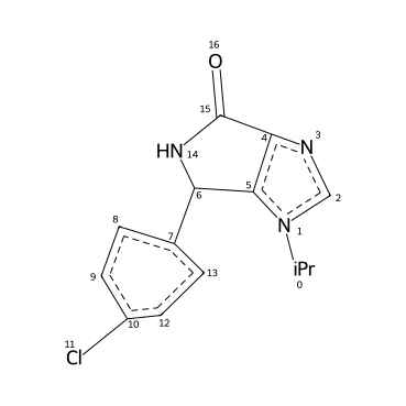 CC(C)n1cnc2c1C(c1ccc(Cl)cc1)NC2=O